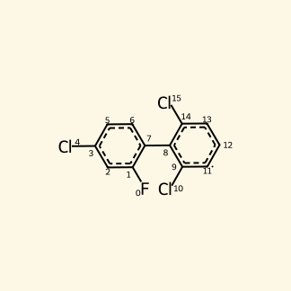 Fc1cc(Cl)ccc1-c1c(Cl)[c]ccc1Cl